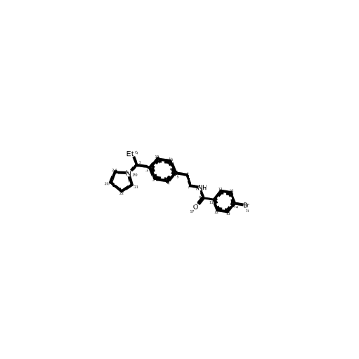 CCC(c1ccc(CCNC(=O)c2ccc(Br)cc2)cc1)N1CCCC1